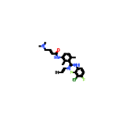 CC/C=C/N=C(/Nc1ccc(F)c(Cl)c1F)c1c(C)ccc(NC(=O)/C=C/CN(C)C)c1C